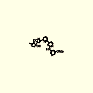 COc1cncc(Nc2nccc(-c3cccc(-c4cc([C@]5(O)CCN(C)C5=O)on4)n3)n2)c1